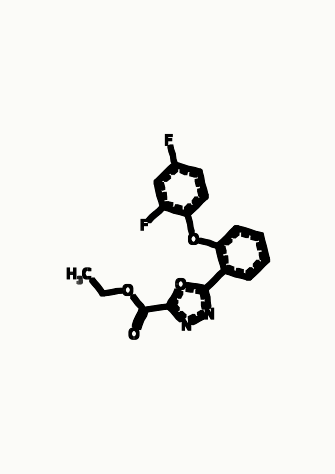 CCOC(=O)c1nnc(-c2ccccc2Oc2ccc(F)cc2F)o1